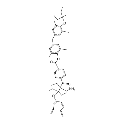 C=C/C=C\C(=C/C=C)OC(CC)(CC)C(CC)(CN)C(=O)c1ccc(C(=O)Oc2c(C)cc(Cc3cc(C)c(OC(C)(CC)CC)c(C)c3)cc2C)cc1